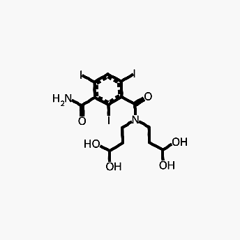 NC(=O)c1c(I)cc(I)c(C(=O)N(CCC(O)O)CCC(O)O)c1I